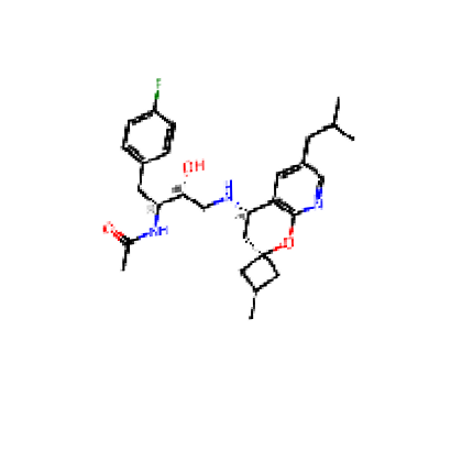 CC(=O)N[C@@H](Cc1ccc(F)cc1)[C@H](O)CN[C@H]1C[C@]2(C[C@H](C)C2)Oc2ncc(CC(C)C)cc21